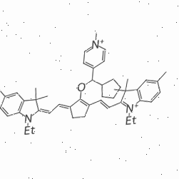 CCN1/C(=C/C=C2\CCC(/C=C/C3=[N+](CC)c4ccc(C)cc4C3(C)C)=C2OC(c2cc[n+](C)cc2)C2CCCC2)C(C)(C)c2cc(C)ccc21